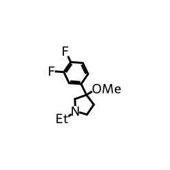 CCN1CCC(OC)(c2ccc(F)c(F)c2)C1